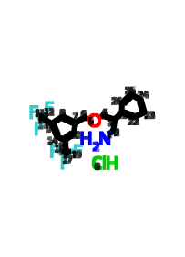 Cl.NCC(COCc1cc(C(F)(F)F)cc(C(F)(F)F)c1)c1ccccc1